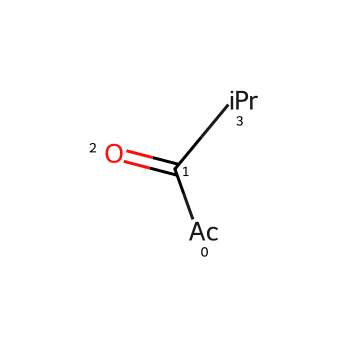 CC(=O)C(=O)C(C)C